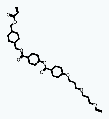 C=COCCCOCCCOC1CCC(C(=O)OC2CCC(C(=O)OCC3CCC(COC(=O)C=C)CC3)CC2)CC1